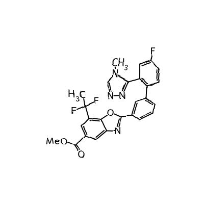 COC(=O)c1cc(C(C)(F)F)c2oc(-c3cccc(-c4ccc(F)cc4-c4nncn4C)c3)nc2c1